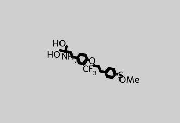 COSc1ccc(CCCOc2ccc(CCC(N)(CO)CO)cc2C(F)(F)F)cc1